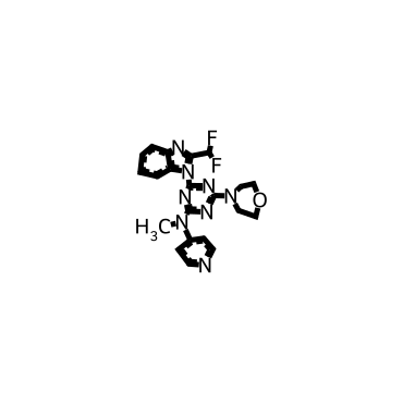 CN(c1ccncc1)c1nc(N2CCOCC2)nc(-n2c(C(F)F)nc3ccccc32)n1